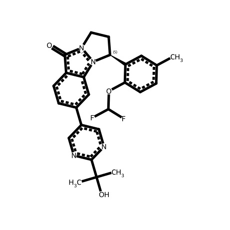 Cc1ccc(OC(F)F)c([C@@H]2CCn3c(=O)c4ccc(-c5cnc(C(C)(C)O)nc5)cc4n32)c1